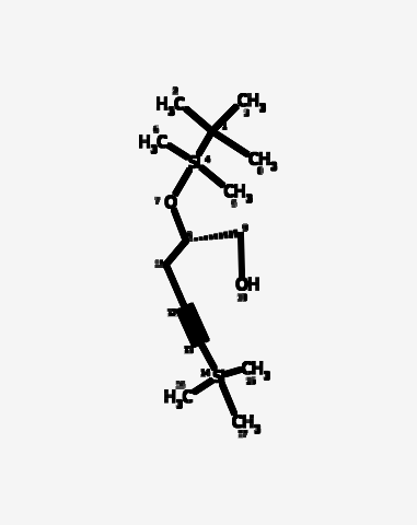 CC(C)(C)[Si](C)(C)O[C@H](CO)CC#C[Si](C)(C)C